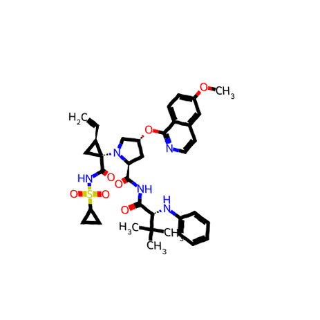 C=C[C@@H]1C[C@@]1(C(=O)NS(=O)(=O)C1CC1)N1C[C@H](Oc2nccc3cc(OC)ccc23)C[C@H]1C(=O)NC(=O)[C@H](Nc1ccccc1)C(C)(C)C